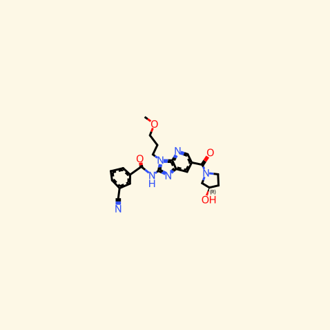 COCCCn1c(NC(=O)c2cccc(C#N)c2)nc2cc(C(=O)N3CC[C@@H](O)C3)cnc21